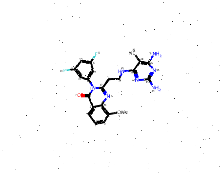 COc1cccc2c(=O)n(-c3cc(F)cc(F)c3)c(CCNc3nc(N)nc(N)c3C#N)nc12